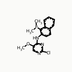 COc1cnc(Cl)nc1Nc1ccc2ccccc2c1P(C)C